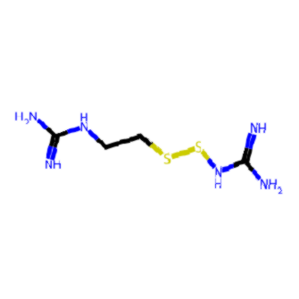 N=C(N)NCCSSNC(=N)N